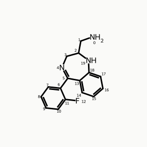 NCC1CN=C(c2ccccc2F)c2ccccc2N1